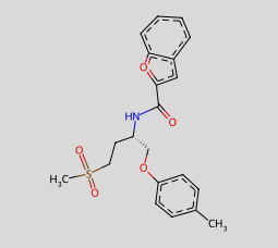 Cc1ccc(OC[C@H](CCS(C)(=O)=O)NC(=O)c2cc3ccccc3o2)cc1